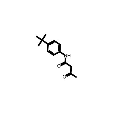 CC(=O)CC(=O)Nc1ccc(C(C)(C)C)cc1